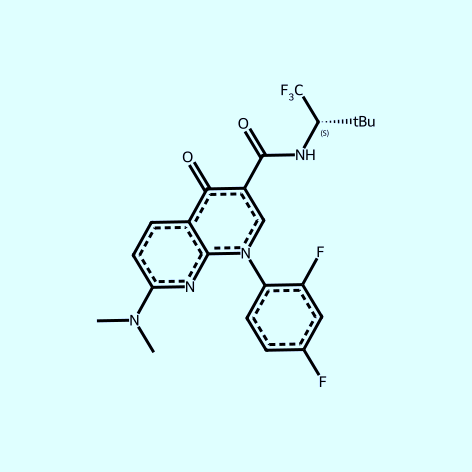 CN(C)c1ccc2c(=O)c(C(=O)N[C@@H](C(C)(C)C)C(F)(F)F)cn(-c3ccc(F)cc3F)c2n1